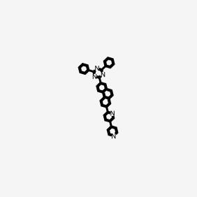 c1ccc(-c2nc(-c3ccccc3)nc(-c3ccc4c(ccc5cc(-c6ccc(-c7ccncc7)cn6)ccc54)c3)n2)cc1